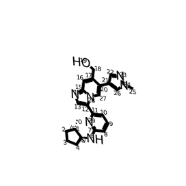 C[C@H]1CCC[C@@H]1Nc1cccc(-c2cnc3cc(CO)c(-c4cnn(C)c4)cn23)n1